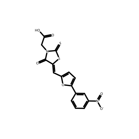 O=C(O)CN1C(=O)C(=Cc2ccc(-c3cccc([N+](=O)[O-])c3)o2)SC1=S